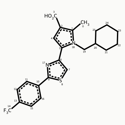 Cc1c(C(=O)O)cc(-c2csc(-c3ccc(C(F)(F)F)cc3)n2)n1CC1CCCCC1